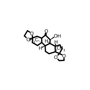 C[C@]12CCC3(CC1C(=O)[C@@H](O)[C@@H]1[C@@H]2CC[C@@]2(C)[C@H]1CCC21OCCO1)OCCO3